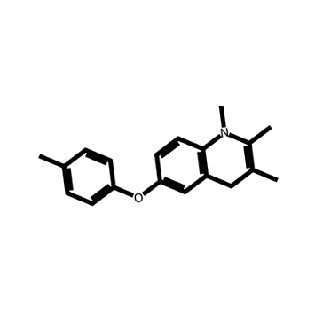 CC1=C(C)N(C)c2ccc(Oc3ccc(C)cc3)cc2C1